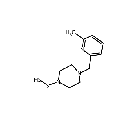 Cc1cccc(CN2CCN(SS)CC2)n1